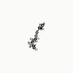 CCOc1cc(N2CCC(N3CCN(CCc4cccc5c4oc(=O)n5C4CCC(=O)NC4=O)CC3)CC2)c(CC)cc1Nc1ncc(Br)c(Nc2cc(F)c3nc(CC)ccc3c2P(C)(C)=O)n1